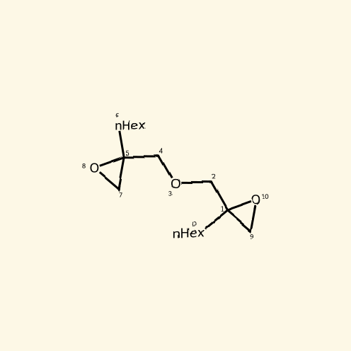 CCCCCCC1(COCC2(CCCCCC)CO2)CO1